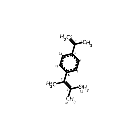 C=C(C)c1ccc(C(C)=C(C)[SiH3])cc1